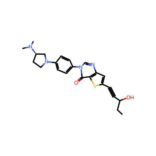 CCC(O)C#Cc1cc2ncn(-c3ccc(N4CC[C@@H](N(C)C)C4)cc3)c(=O)c2s1